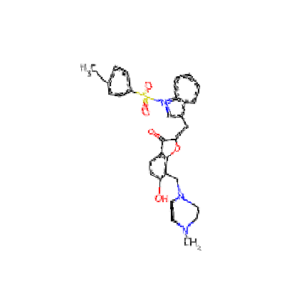 Cc1ccc(S(=O)(=O)n2cc(C=C3Oc4c(ccc(O)c4CN4CCN(C)CC4)C3=O)c3ccccc32)cc1